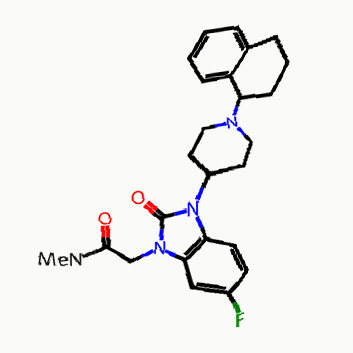 CNC(=O)Cn1c(=O)n(C2CCN(C3CCCc4ccccc43)CC2)c2ccc(F)cc21